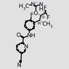 C/N=C(/N)O[C@H](C(F)F)[C@H](C)c1cc(NC(=O)c2ccc(C#N)cn2)ccc1F